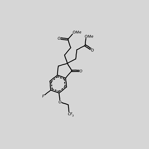 COC(=O)CCC1(CCC(=O)OC)Cc2cc(F)c(OCC(F)(F)F)cc2C1=O